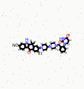 CCc1cc2c(cc1N1CCC(N3CCN(Cc4ccccc4N4CCC(=O)NC4=O)CC3)CC1)C(C)(C)c1[nH]c3cc(C#N)ccc3c1C2=O